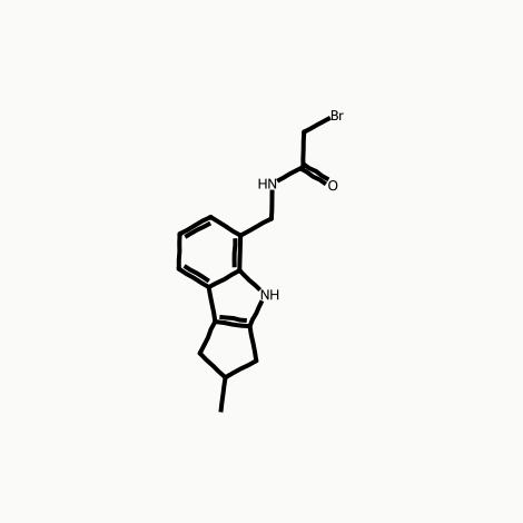 CC1Cc2[nH]c3c(CNC(=O)CBr)cccc3c2C1